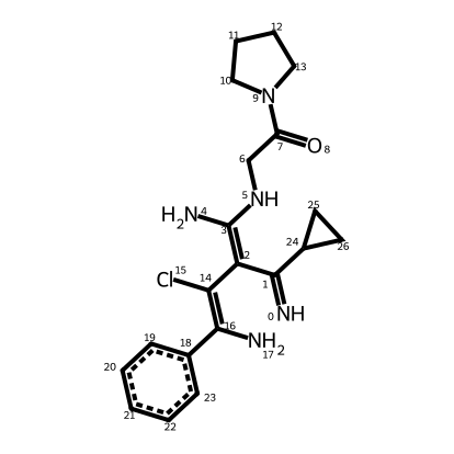 N=C(C(=C(/N)NCC(=O)N1CCCC1)/C(Cl)=C(\N)c1ccccc1)C1CC1